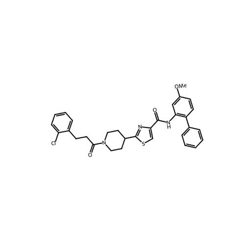 COc1ccc(-c2ccccc2)c(NC(=O)c2csc(C3CCN(C(=O)CCc4ccccc4Cl)CC3)n2)c1